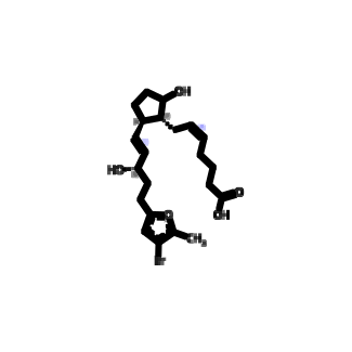 Cc1oc(CC[C@H](O)/C=C/[C@H]2CCC(O)[C@@H]2C/C=C\CCCC(=O)O)cc1Br